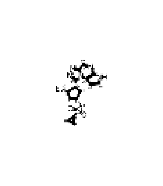 CC[C@@H]1C[C@@H](CS(=O)(=O)C2CC2)C[C@H]1c1nnc2cnc3[nH]ccc3n12